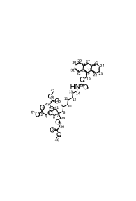 COC(=O)COCC(CCCCCCCNC(=O)OCc1c2ccccc2cc2ccccc12)(COCC(=O)OC)COCC(=O)OC